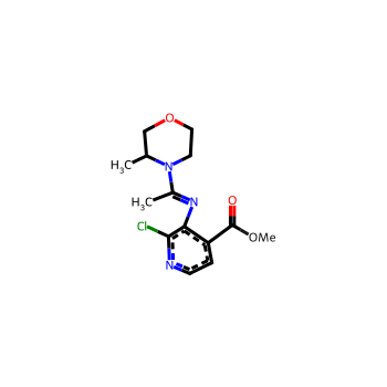 COC(=O)c1ccnc(Cl)c1/N=C(\C)N1CCOCC1C